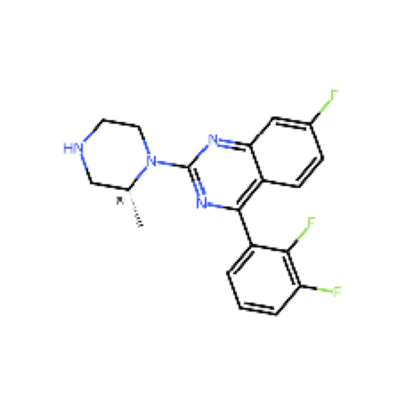 C[C@@H]1CNCCN1c1nc(-c2cccc(F)c2F)c2ccc(F)cc2n1